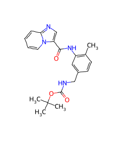 Cc1ccc(CNC(=O)OC(C)(C)C)cc1NC(=O)c1cnc2ccccn12